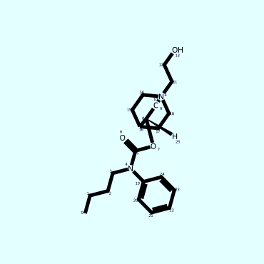 CCCCN(C(=O)O[C@H]1C[N+]2(CCO)CCC1CC2)c1ccccc1